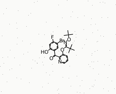 CC(C)(C)ON=C(Oc1cccnc1C(=O)c1cc(Br)c(F)cc1O)C(C)(C)C